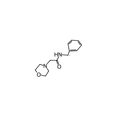 O=C(CN1CCOCC1)N[CH]c1ccccc1